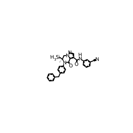 C[C@]1([SiH3])Cn2ncc(C(=O)Nc3cccc(C#N)c3)c2C(=O)N1c1ccc(Cc2ccccc2)cc1